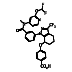 CN(C(=O)c1cccc(-n2nc(C(F)(F)F)c3c2[C@H](Oc2ccc(C(=O)O)cc2)CCC3)c1)c1ccnc(OC(F)F)c1